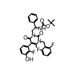 Cc1c(-c2cccc(O)c2F)c(=O)n(C[C@H](NC(=O)OC(C)(C)C)c2ccccc2)c(=O)n1Cc1c(F)cccc1F